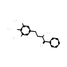 COc1cc(CCC(O)C(=N)c2ccccc2)cc(OC)c1OC